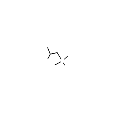 C[Si](C)(Cl)CC(Cl)Cl